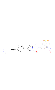 CN1CC(C#Cc2ccc(-c3cc4n(c3)C(=O)N(CCC(C)(C(=O)NO)S(C)(=O)=O)C4)cc2)C1